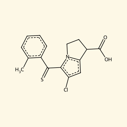 Cc1ccccc1C(=S)c1c(Cl)cc2n1CCC2C(=O)O